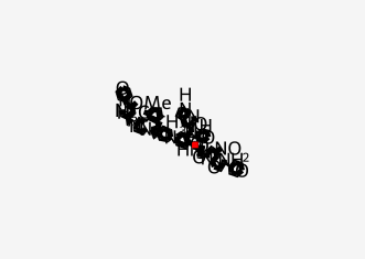 COc1cc(CN2CCN(C3CC4(CCN(c5ccc(C(=O)NS(=O)(=O)c6cc([N+](=O)[O-])c7c(n6)OC[C@H](C6CCOCC6)N7)c(N6c7cc8cc[nH]c8nc7O[C@H]7COCC[C@@H]76)c5)CC4)C3C)[C@H](c3ccccc3C)C2)cnc1N1CCOCC1